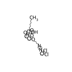 CCCCCCCC(=O)OC(C(=O)O)n1c(=O)ccc2ccc(OCCCCN3CCN(c4cccc(Cl)c4Cl)CC3)cc21